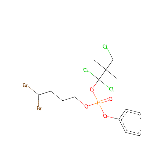 CC(C)(CCl)C(Cl)(Cl)OP(=O)(OCCCC(Br)Br)Oc1ccccc1